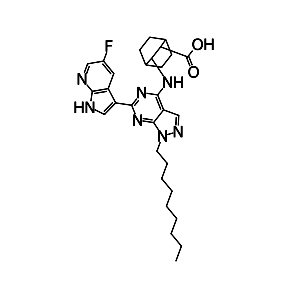 CCCCCCCCCn1ncc2c(NC3C4CCC(CC4)C3C(=O)O)nc(-c3c[nH]c4ncc(F)cc34)nc21